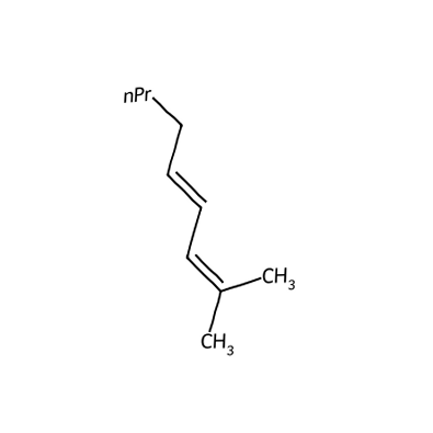 CCCCC=CC=C(C)C